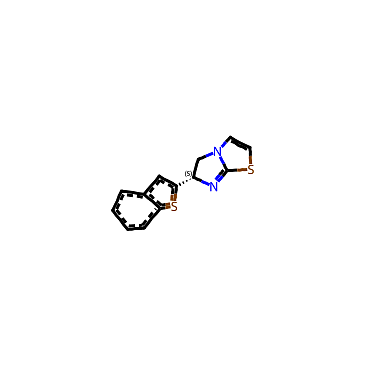 C1=CN2C[C@@H](c3cc4ccccc4s3)N=C2S1